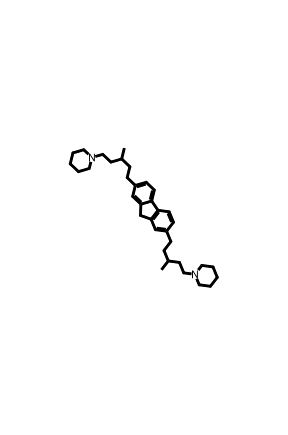 CC(CCc1ccc2c(c1)Cc1cc(CCC(C)CCN3CCCCC3)ccc1-2)CCN1CCCCC1